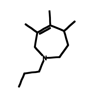 CCCN1CCC(C)C(C)=C(C)C1